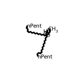 CCCCC/C=C\C/C=C\CCCCCCCCCCC1(CCCCCCCCCC/C=C\C/C=C\CCCCC)OC2CN(C)C[C@@H]2O1